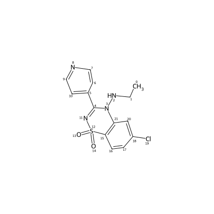 CCNN1C(c2ccncc2)=NS(=O)(=O)c2ccc(Cl)cc21